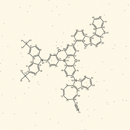 CC(C)(C)c1ccc2c(c1)c1cc(C(C)(C)C)ccc1n2-c1ccc2c(c1)Oc1cc(-c3cccc4c3oc3ccc5sc6ccccc6c5c34)cc3c1B2c1ccc(-n2c4c(c5ccccc52)/C=C(/C#N)C/C=C\C4)cc1O3